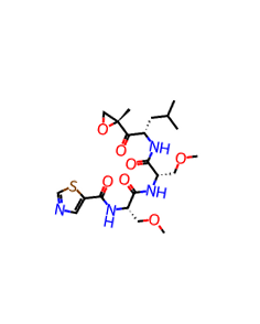 COC[C@H](NC(=O)c1cncs1)C(=O)N[C@@H](COC)C(=O)N[C@@H](CC(C)C)C(=O)[C@@]1(C)CO1